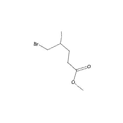 COC(=O)CCC(C)CBr